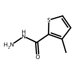 Cc1ccsc1C(=O)NN